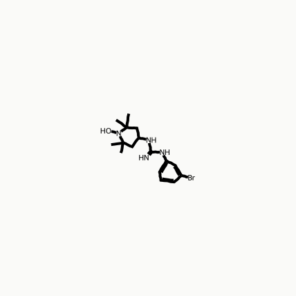 CC1(C)CC(NC(=N)Nc2cccc(Br)c2)CC(C)(C)N1O